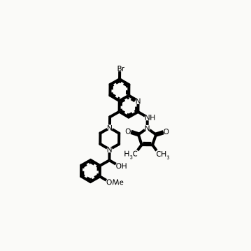 COc1ccccc1C(O)N1CCN(Cc2cc(NN3C(=O)C(C)=C(C)C3=O)nc3cc(Br)ccc23)CC1